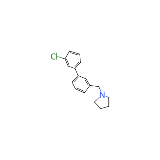 Clc1cccc(-c2cccc(CN3CCCC3)c2)c1